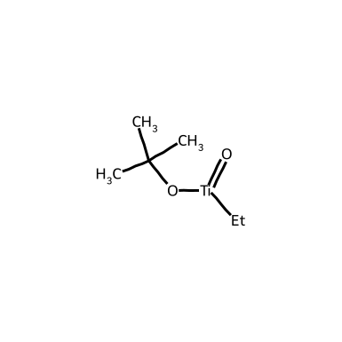 C[CH2][Ti](=[O])[O]C(C)(C)C